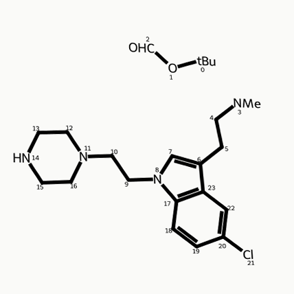 CC(C)(C)OC=O.CNCCc1cn(CCN2CCNCC2)c2ccc(Cl)cc12